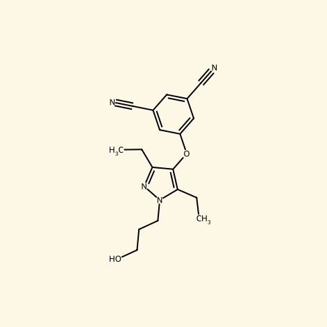 CCc1nn(CCCO)c(CC)c1Oc1cc(C#N)cc(C#N)c1